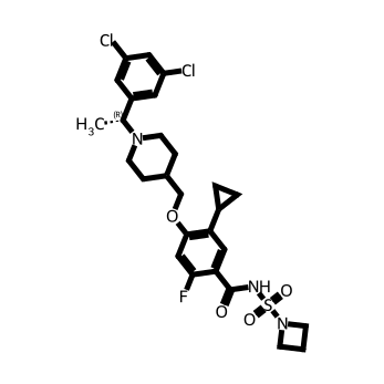 C[C@H](c1cc(Cl)cc(Cl)c1)N1CCC(COc2cc(F)c(C(=O)NS(=O)(=O)N3CCC3)cc2C2CC2)CC1